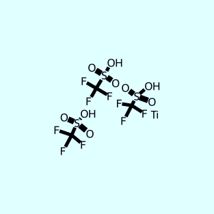 O=S(=O)(O)C(F)(F)F.O=S(=O)(O)C(F)(F)F.O=S(=O)(O)C(F)(F)F.[Ti]